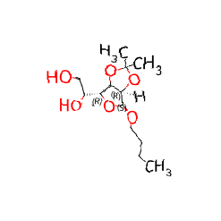 CCCCO[C@H]1O[C@H](C(O)CO)C2OC(C)(C)O[C@H]21